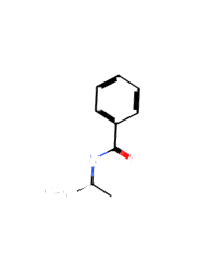 C[C@@H](C=O)[N]C(=O)c1ccccc1